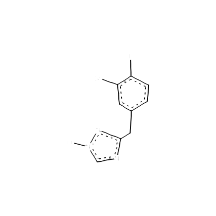 CCn1cnc(Cc2ccc(F)c(Br)c2)n1